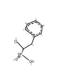 O=[PH](O)C(Cl)Cc1ccccc1